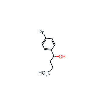 CC(C)c1ccc(C(O)CCC(=O)O)cc1